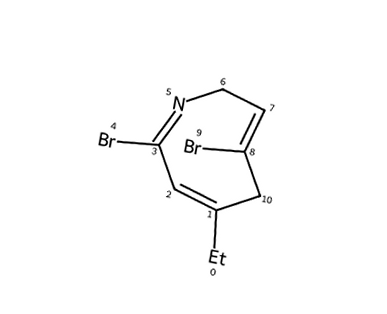 CC/C1=C/C(Br)=N\C/C=C(\Br)C1